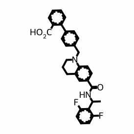 CC(NC(=O)c1ccc2c(c1)CCCN2Cc1ccc(-c2ccccc2C(=O)O)cc1)c1c(F)cccc1F